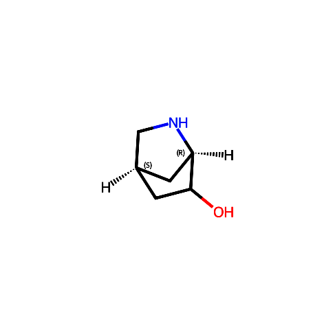 OC1C[C@H]2CN[C@@H]1C2